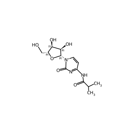 CC(C)C(=O)NC1=NC(=O)[N+]([C@@H]2O[C@H](CO)[C@@H](O)[C@H]2O)C=C1